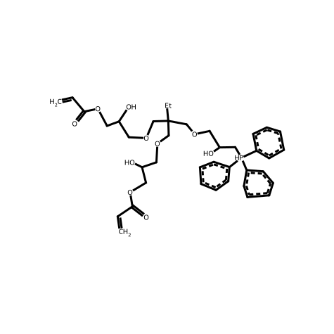 C=CC(=O)OCC(O)COCC(CC)(COCC(O)COC(=O)C=C)COCC(O)C[PH](c1ccccc1)(c1ccccc1)c1ccccc1